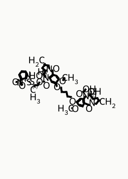 C=C1C[C@H]2[C@H](O)N(C(=O)O)c3cc(OCCCCCOc4cc5c(cc4OC)C(=O)N4CC(=C)C[C@H]4[C@H](O)N5C(=O)OC[C@@H](C)SSc4ncccc4[N+](=O)[O-])c(OC)cc3C(=O)N2C1